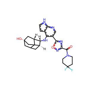 O=C(c1noc(-c2cnc3[nH]ccc3c2N[C@H]2[C@@H]3CC4C[C@H]2C[C@@](O)(C4)C3)n1)N1CCC(F)(F)CC1